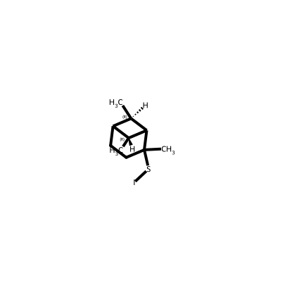 C[C@@H]1C2CCC(C)(SI)C1[C@@H]2C